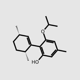 Cc1cc(O)c(C2=C[C@@H](C)CC[C@H]2C)c(OC(C)C)c1